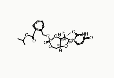 CC(C)OC(=O)c1ccccc1COP1(=O)OC[C@H]2O[C@@H](n3ccc(=O)[nH]c3=O)[C@](C)(F)[C@@H]2O1